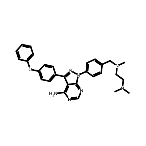 CN(C)CCN(C)Cc1ccc(-n2nc(-c3ccc(Oc4ccccc4)cc3)c3c(N)ncnc32)cc1